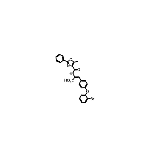 Cc1oc(-c2ccccc2)nc1C(=O)NC(=Cc1ccc(Oc2ccccc2Br)cc1)C(=O)O